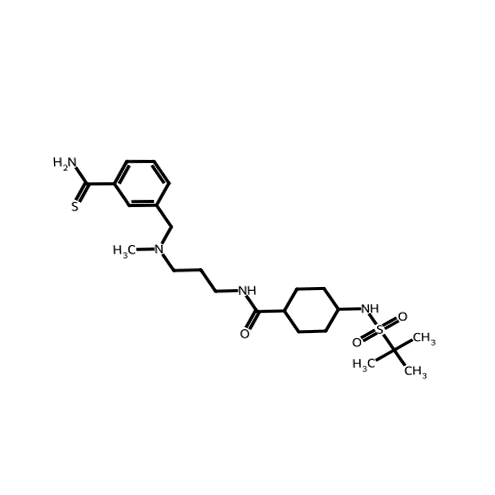 CN(CCCNC(=O)C1CCC(NS(=O)(=O)C(C)(C)C)CC1)Cc1cccc(C(N)=S)c1